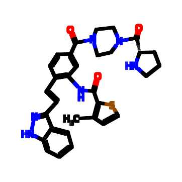 Cc1ccsc1C(=O)Nc1cc(C(=O)N2CCN(C(=O)[C@@H]3CCCN3)CC2)ccc1/C=C/c1n[nH]c2ccccc12